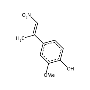 COc1cc(/C(C)=C/[N+](=O)[O-])ccc1O